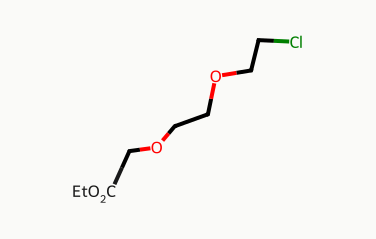 CCOC(=O)COCCOCCCl